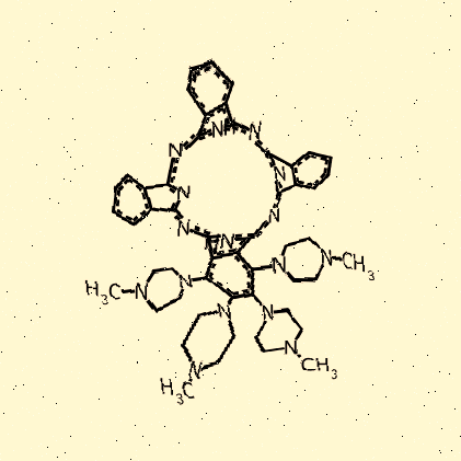 CN1CCN(c2c(N3CCN(C)CC3)c(N3CCN(C)CC3)c3c4nc5nc(nc6[nH]c(nc7nc(nc([nH]4)c3c2N2CCN(C)CC2)-c2ccccc2-7)c2ccccc62)-c2ccccc2-5)CC1